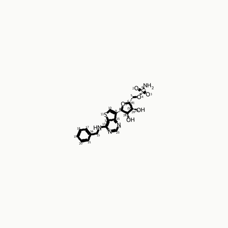 NS(=O)(=O)OC[C@H]1O[C@@H](c2csc3c(NCc4ccccc4)ncnc23)[C@H](O)[C@@H]1O